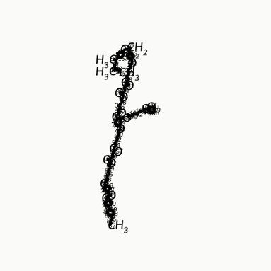 C=C(Oc1ccc(C(C)CCC(C)CCC)cc1)c1ccc(OCCCCCCOC(=O)CCC(=O)OCCCCCCOc2ccc(OCCCCCCOC(=O)CCC(=O)OCCCCCCOc3ccc(C(=O)Oc4ccc(C5CCC(CCC)CC5)cc4)cc3)cc2C(=O)OCCCCCCOC2CCCCO2)cc1